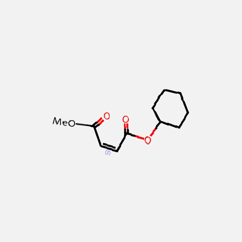 COC(=O)/C=C\C(=O)OC1CCCCC1